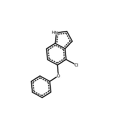 Clc1c(Oc2ccccc2)ccc2[nH]ccc12